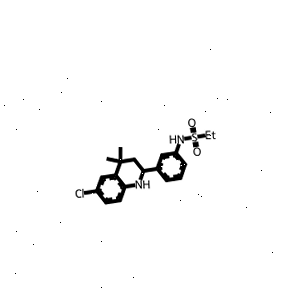 CCS(=O)(=O)Nc1cccc(C2CC(C)(C)c3cc(Cl)ccc3N2)c1